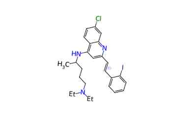 CCN(CC)CCCC(C)Nc1cc(/C=C/c2ccccc2I)nc2cc(Cl)ccc12